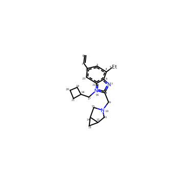 C=Cc1cc(CC)c2nc(CN3CC4CC4C3)n(CC3CCC3)c2c1